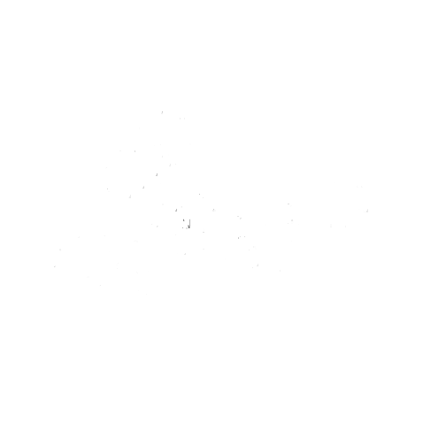 CC1(C)c2ccccc2-c2cccc(-c3ccc(N(c4ccc(-c5cccc(-c6ccc7ccccc7c6)c5)cc4)c4cccc(-c5ccccc5-c5ccccc5)c4)cc3)c21